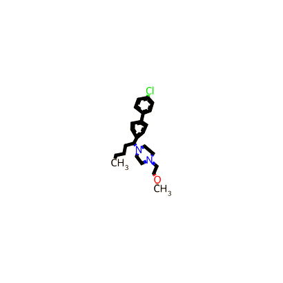 CCCCC(c1ccc(-c2ccc(Cl)cc2)cc1)N1CCN(CCOC)CC1